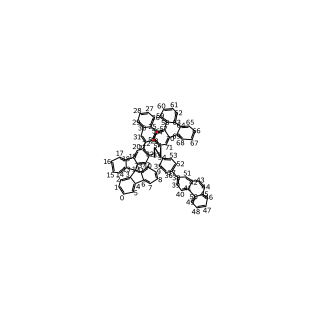 c1ccc2c(c1)-c1ccccc1C21c2ccccc2-c2cc(-c3ccc4ccccc4c3)c(N(c3ccc(-c4ccc5c(ccc6ccccc65)c4)cc3)c3ccc4c5ccccc5c5ccccc5c4c3)cc21